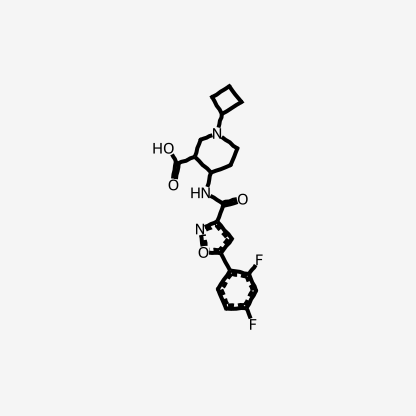 O=C(NC1CCN(C2CCC2)CC1C(=O)O)c1cc(-c2ccc(F)cc2F)on1